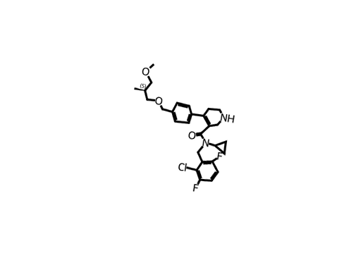 COC[C@H](C)COCc1ccc(C2=C(C(=O)N(Cc3c(F)ccc(F)c3Cl)C3CC3)CNCC2)cc1